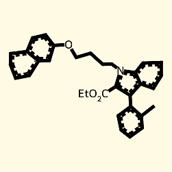 CCOC(=O)c1c(-c2ccccc2C)c2ccccc2n1CCCCOc1ccc2ccccc2c1